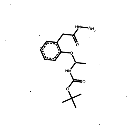 CC(NC(=O)OC(C)(C)C)Oc1ccccc1CC(=O)NN